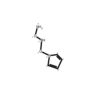 NOBOn1cccc1